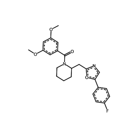 COc1cc(OC)cc(C(=O)N2CCCCC2Cc2ncc(-c3ccc(F)cc3)o2)c1